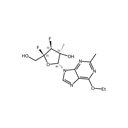 CCOc1nc(C)nc2c1ncn2[C@@H]1O[C@](F)(CO)[C@@H](F)[C@@]1(C)O